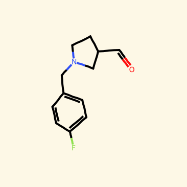 O=CC1CCN(Cc2ccc(F)cc2)C1